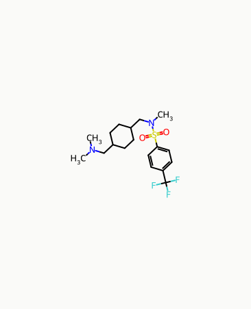 CN(C)CC1CCC(CN(C)S(=O)(=O)c2ccc(C(F)(F)F)cc2)CC1